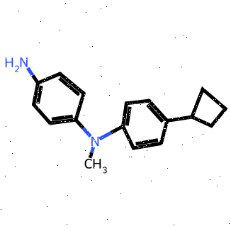 CN(c1ccc(N)cc1)c1ccc(C2CCC2)cc1